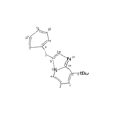 CC(C)(C)c1cccn2c(Cc3ccccc3)cnc12